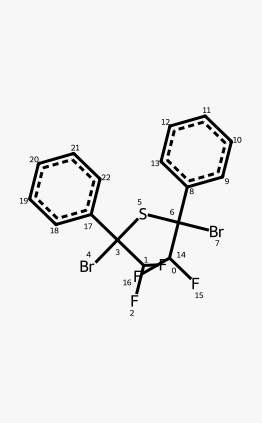 FC(F)C(Br)(SC(Br)(c1ccccc1)C(F)F)c1ccccc1